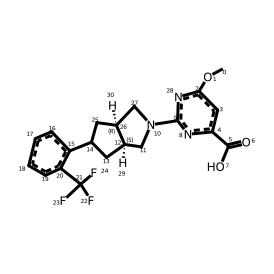 COc1cc(C(=O)O)nc(N2C[C@H]3CC(c4ccccc4C(F)(F)F)C[C@H]3C2)n1